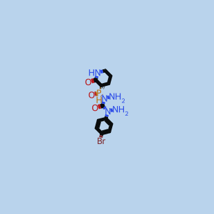 NN(C(=O)N(N)[PH](=O)[C@H]1CCCNC1=O)c1ccc(Br)cc1